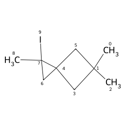 CC1(C)CC2(C1)CC2(C)I